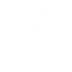 Cc1cc(C2=NOC(c3cc(Cl)cc(Cl)c3)(C(F)(F)F)C2)c(Br)cc1C(=O)O